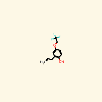 C=CCc1cc(OCC(F)(F)F)ccc1O